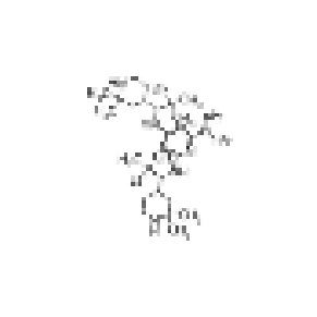 CCCN(CCC)c1nc(NC(C2CCNC(C)(C)C2)C(C)(C)CC)nc(NC(C2CCNC(C)(C)C2)C(C)(C)CC)n1